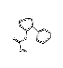 COC(=O)Oc1ccccc1-c1ccccc1